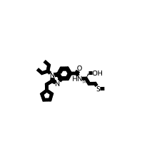 CCC(CC)n1c(CC2CCCC2)nc2cc(C(=O)N[C@H](CO)CCSC)ccc21